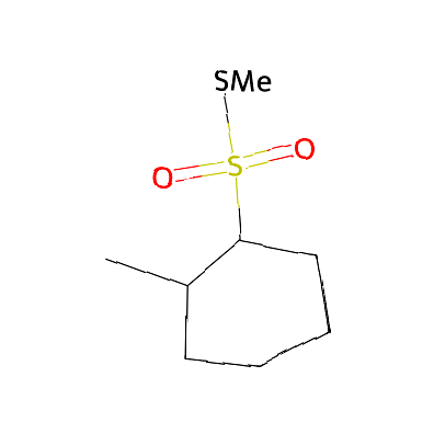 CSS(=O)(=O)C1CCCCC1C